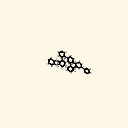 c1ccc(-c2ccc3c4ccc(-c5ccccc5-c5cccc6c5Sc5ccccc5S6)cc4c4ccccc4c3c2)cc1